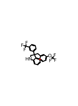 FC(F)(F)Oc1cccc(CC2(c3cccc(C(F)(F)F)c3)CNc3ccccc32)c1